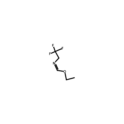 CCO/C=N\CC(F)(F)F